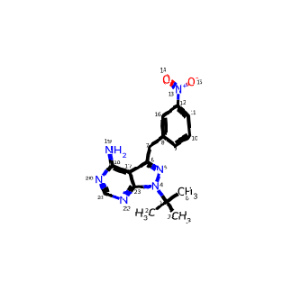 CC(C)(C)n1nc(Cc2cccc([N+](=O)[O-])c2)c2c(N)ncnc21